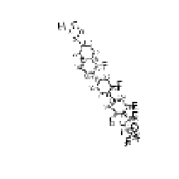 CCCc1ccc2c(F)c(-c3ccc(-c4cc(F)c(C(F)(F)OC(F)(F)F)c(F)c4)c(F)c3)ccc2c1